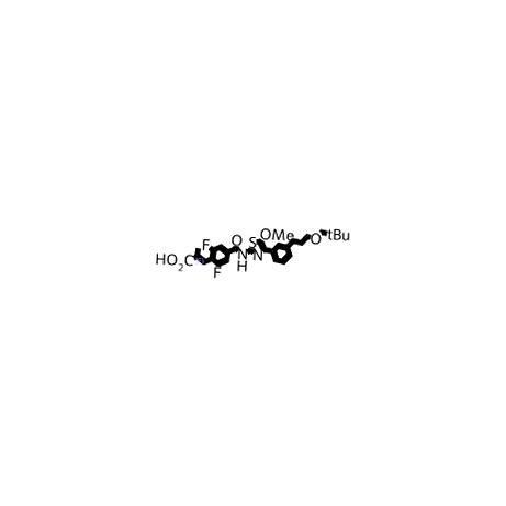 COc1sc(NC(=O)c2cc(F)c(/C=C(\C)C(=O)O)c(F)c2)nc1-c1cccc(CCCOCC(C)(C)C)c1